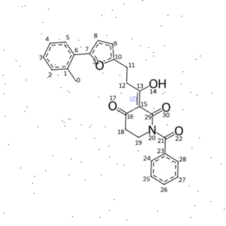 Cc1ccccc1-c1ccc(CC/C(O)=C2\C(=O)CCN(C(=O)c3ccccc3)C2=O)o1